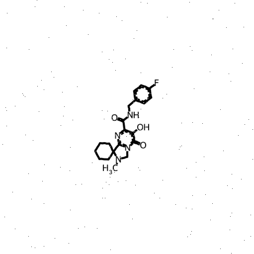 CN1Cn2c(nc(C(=O)NCc3ccc(F)cc3)c(O)c2=O)C12CCCCC2